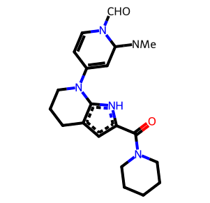 CNC1C=C(N2CCCc3cc(C(=O)N4CCCCC4)[nH]c32)C=CN1C=O